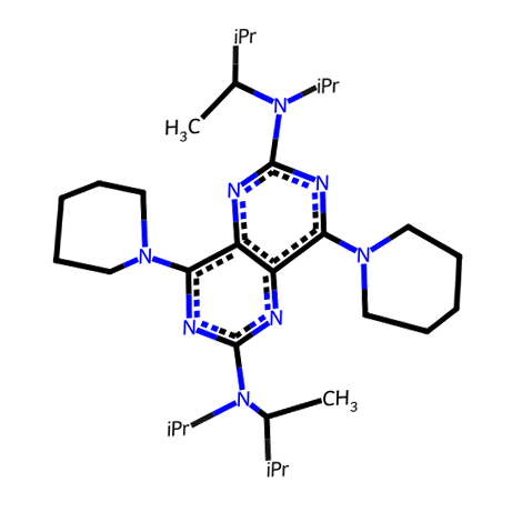 CC(C)C(C)N(c1nc(N2CCCCC2)c2nc(N(C(C)C)C(C)C(C)C)nc(N3CCCCC3)c2n1)C(C)C